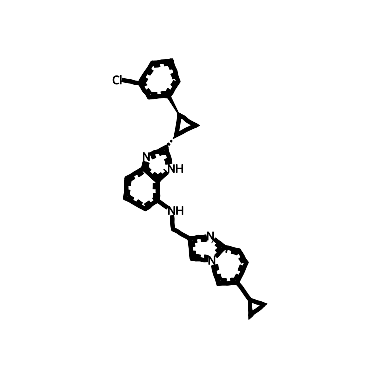 Clc1cccc([C@H]2C[C@@H]2c2nc3cccc(NCc4cn5cc(C6CC6)ccc5n4)c3[nH]2)c1